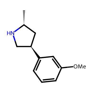 COc1cccc([C@H]2CN[C@H](C)C2)c1